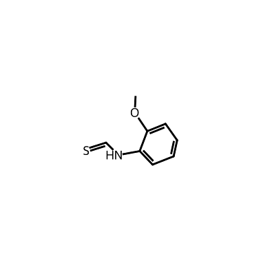 COc1ccccc1NC=S